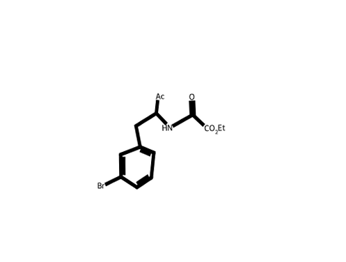 CCOC(=O)C(=O)NC(Cc1cccc(Br)c1)C(C)=O